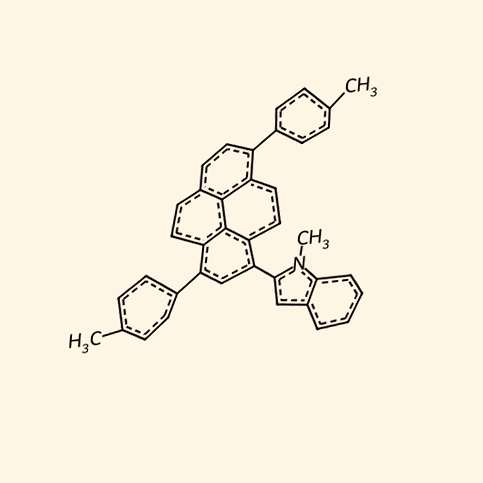 Cc1ccc(-c2ccc3ccc4c(-c5ccc(C)cc5)cc(-c5cc6ccccc6n5C)c5ccc2c3c45)cc1